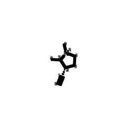 C#C[C@H]1CCN(C)C1C